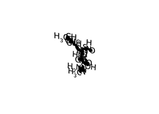 Cc1nnc(SCC2(C(=O)O)CS[C@@H]3C(NC(=O)C(=NOCCCNC(=O)OC(C)(C)C)c4csc(NC=O)n4)C(=O)N3C2)n1N